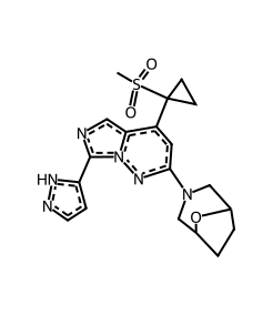 CS(=O)(=O)C1(c2cc(N3CC4CCC(C3)O4)nn3c(-c4ccn[nH]4)ncc23)CC1